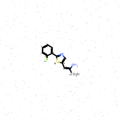 CCOC(=O)/C(N)=C/c1cnc(-c2ccccc2F)s1